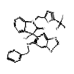 O=C1N(Cc2ccc(C(F)(F)F)o2)c2ccccc2C1(O)c1cc2c(cc1OCc1ccccc1)OCO2